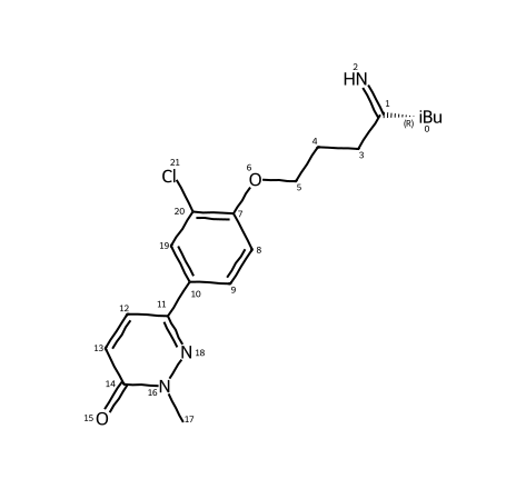 CC[C@@H](C)C(=N)CCCOc1ccc(-c2ccc(=O)n(C)n2)cc1Cl